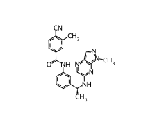 Cc1cc(C(=O)Nc2cccc([C@H](C)Nc3cnc4cnn(C)c4n3)c2)ccc1C#N